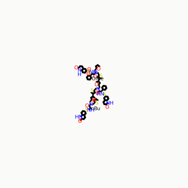 CCCC[C@H](NSc1ccc2[nH]c(=O)ccc2c1)C(=O)N(Cc1cc(-c2csc(CN(Cc3cc(-c4csc(CN(Cc5ccco5)C(=O)[C@@H](NS(=O)(=O)c5ccc6[nH]c(=O)ccc6c5)c5ccccc5OC)c4)co3)C(=O)C(NSc3ccc4[nH]c(=O)ccc4c3)c3ccccc3)c2)co1)Cc1cccs1